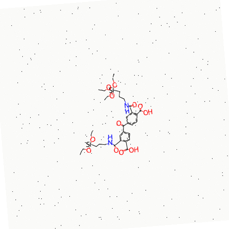 CCO[Si](C)(CCCNC(=O)c1cc(C(=O)c2ccc(C(=O)O)c(C(=O)NCCC[Si](OCC)(OCC)OCC)c2)ccc1C(=O)O)OCC